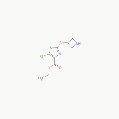 CCOC(=O)c1nc(OC2CNC2)sc1Cl